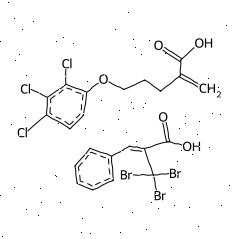 C=C(CCCOc1ccc(Cl)c(Cl)c1Cl)C(=O)O.O=C(O)C(=Cc1ccccc1)C(Br)(Br)Br